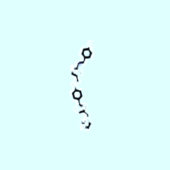 Clc1ccc(/C=C/c2nc(COc3ccc(-c4nc(Cn5ccnn5)co4)cc3)co2)cc1